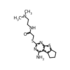 CN(C)CCNC(=O)CSc1nc(N)c2c3c(sc2n1)CCC3